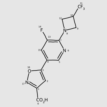 O=C(O)c1cc(-c2cnc(N3CC(C(F)(F)F)C3)c(F)c2)on1